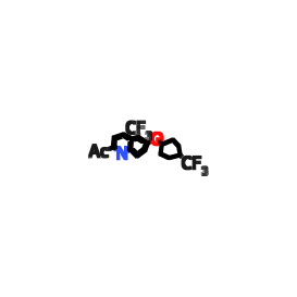 CC(=O)c1ccc2c(C(F)(F)F)c(OC3CCC(C(F)(F)F)CC3)ccc2n1